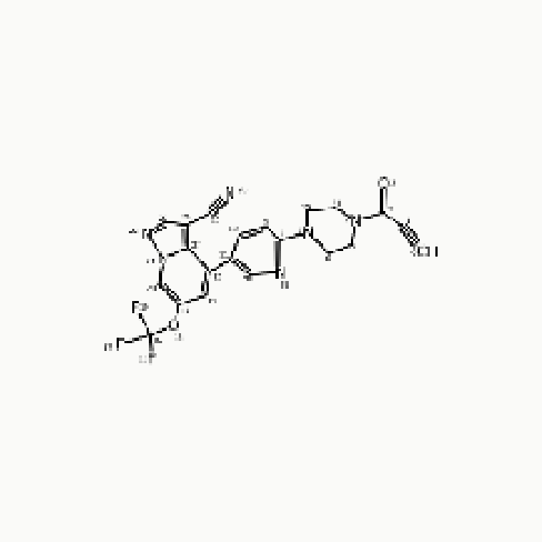 C#CC(=O)N1CCN(c2ccc(-c3cc(OC(F)(F)F)cn4ncc(C#N)c34)cn2)CC1